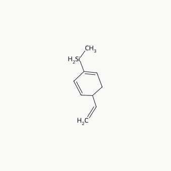 C=CC1C=CC([SiH2]C)=CC1